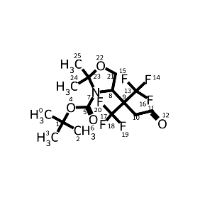 CC(C)(C)OC(=O)N1C(C(CC=O)(C(F)(F)F)C(F)(F)F)COC1(C)C